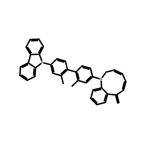 C=C1/C=C\C=C/CN(c2ccc(-c3ccc(-n4c5ccccc5c5ccccc54)cc3C)c(C)c2)c2ccccc21